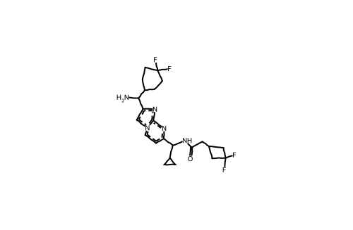 NC(c1cn2ccc(C(NC(=O)CC3CC(F)(F)C3)C3CC3)nc2n1)C1CCC(F)(F)CC1